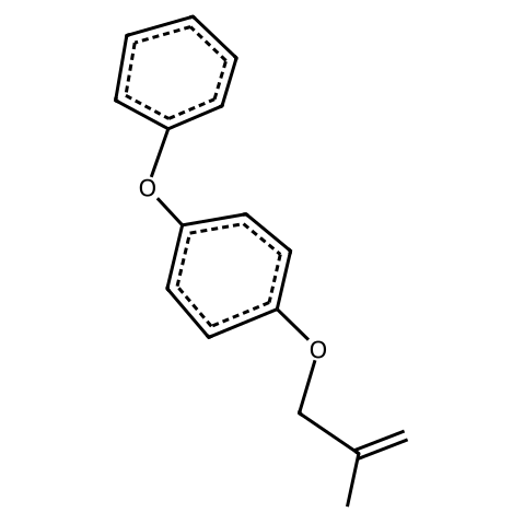 C=C(C)COc1ccc(Oc2ccccc2)cc1